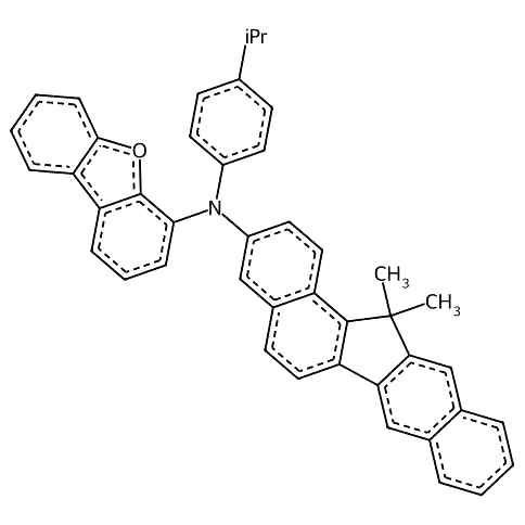 CC(C)c1ccc(N(c2ccc3c4c(ccc3c2)-c2cc3ccccc3cc2C4(C)C)c2cccc3c2oc2ccccc23)cc1